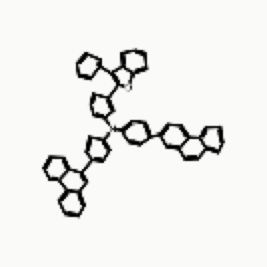 c1ccc(-c2c(-c3cccc(N(c4ccc(-c5ccc6c(ccc7ccccc76)c5)cc4)c4ccc(-c5cc6ccccc6c6ccccc56)cc4)c3)oc3ccccc23)cc1